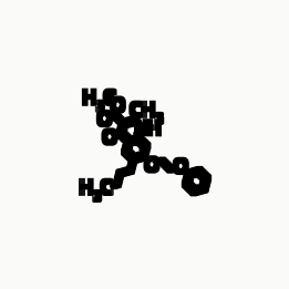 CCCCc1cc2c(=O)c(C(=O)OC)c(C)[nH]c2cc1OCCOc1ccccc1